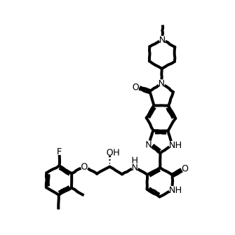 Cc1ccc(F)c(OC[C@H](O)CNc2cc[nH]c(=O)c2-c2nc3cc4c(cc3[nH]2)CN(C2CCN(C)CC2)C4=O)c1C